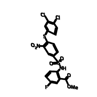 COC(=O)c1cc(F)ccc1NS(=O)(=O)c1ccc(Sc2ccc(Cl)c(Cl)c2)c([N+](=O)[O-])c1